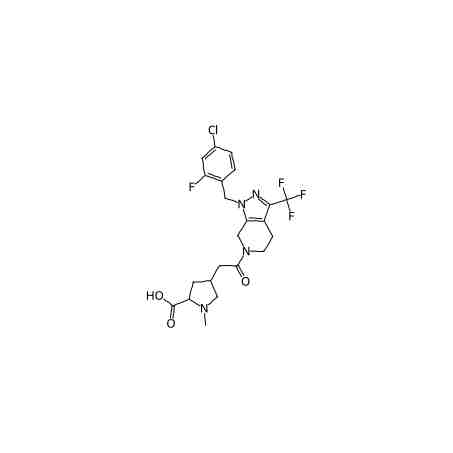 CN1CC(CC(=O)N2CCc3c(C(F)(F)F)nn(Cc4ccc(Cl)cc4F)c3C2)CC1C(=O)O